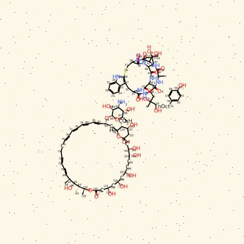 CC1NC(=O)C(CC(C)(O)CO)NC(=O)C2Cc3c([nH]c4ccccc34)SCC(NC(=O)C(C(C)O)NC1=O)C(=O)N1CC(O)CC1C(=O)NC(C)C(=O)N2.CCCCCCCCc1ccc(O)cc1.C[C@@H]1[C@H](O)[C@@H](C)/C=C/C=C/CC/C=C/C=C/C=C/C=C/[C@H](O[C@@H]2O[C@H](C)[C@@H](O)[C@H](N)[C@@H]2O)C[C@@H]2O[C@](O)(C[C@@H](O)[C@H](O)CC[C@@H](O)C[C@@H](O)C[C@@H](O)CC(=O)O[C@H]1C)C[C@H](O)[C@H]2C(=O)O